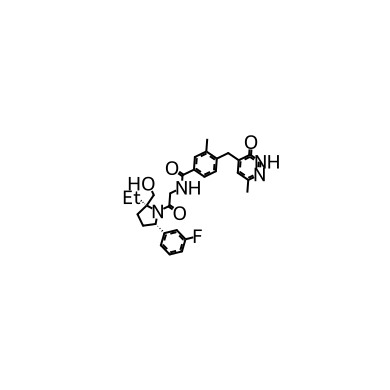 CC[C@@]1(CO)CC[C@@H](c2cccc(F)c2)N1C(=O)CNC(=O)c1ccc(Cc2cc(C)n[nH]c2=O)c(C)c1